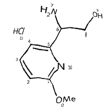 COc1cccc(C(N)CO)n1.Cl